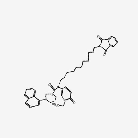 O=C(O)Cn1cc(N(CCCCCCCCCCCN2C(=O)c3ccccc3C2=O)C(=O)[C@H]2CCCN(c3cncc4ccccc34)C2)ccc1=O